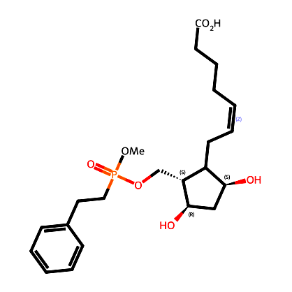 COP(=O)(CCc1ccccc1)OC[C@@H]1C(C/C=C\CCCC(=O)O)[C@@H](O)C[C@H]1O